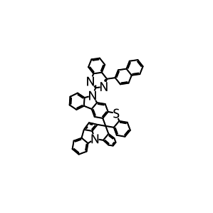 c1ccc2c(c1)Sc1cc3c(cc1C21c2ccccc2-n2c4ccccc4c4cccc1c42)c1ccccc1n3-c1nc(-c2ccc3ccccc3c2)c2ccccc2n1